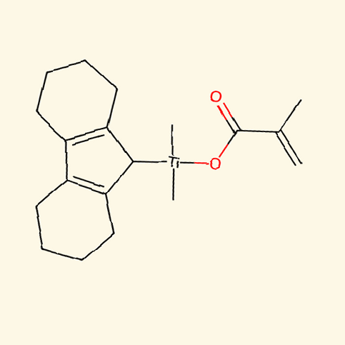 C=C(C)C(=O)[O][Ti]([CH3])([CH3])[CH]1C2=C(CCCC2)C2=C1CCCC2